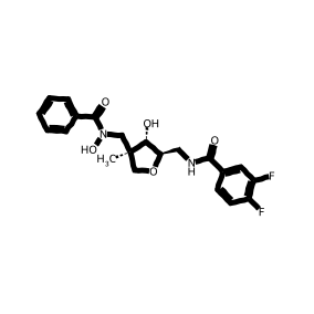 C[C@@]1(CN(O)C(=O)c2ccccc2)CO[C@H](CNC(=O)c2ccc(F)c(F)c2)[C@H]1O